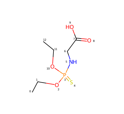 CCOP(=S)(NCC(=O)O)OCC